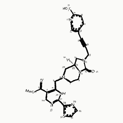 COC(=O)C1=C(CN2CCN3C(=O)N(CC#Cc4ccc(C(=O)O)nc4)C[C@@H]3C2)NC(c2nccs2)=NC1